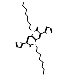 CCCCCCCCn1c(=O)c(-c2ccco2)cc2c1cc(-c1ccco1)c(=O)n2CCCCCCCC